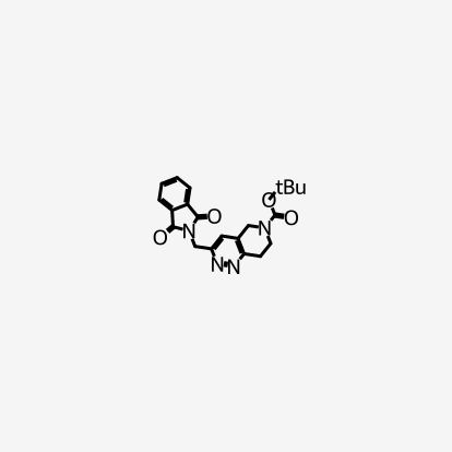 CC(C)(C)OC(=O)N1CCc2nnc(CN3C(=O)c4ccccc4C3=O)cc2C1